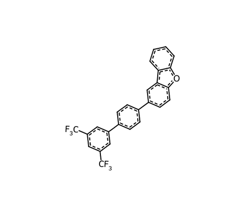 FC(F)(F)c1cc(-c2ccc(-c3ccc4oc5ccccc5c4c3)cc2)cc(C(F)(F)F)c1